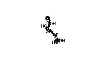 O=C(CCCCCC[C@@H]1C(CC[C@@H](O)c2cc3ccccc3s2)[C@H](O)C[C@@H]1O)OCC(CO)(CO)CO